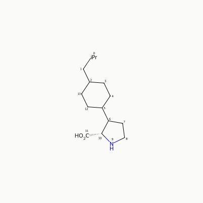 CC(C)CC1CCC(C2CCN[C@@H]2C(=O)O)CC1